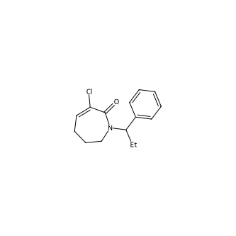 CCC(c1ccccc1)N1CCCC=C(Cl)C1=O